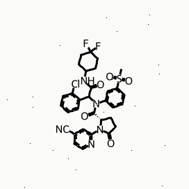 CS(=O)(=O)c1cccc(N(C(=O)[C@@H]2CCC(=O)N2c2cc(C#N)ccn2)C(C(=O)NC2CCC(F)(F)CC2)c2ccccc2Cl)c1